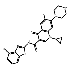 O=C(Nc1nc2c(Cl)cccc2s1)c1cn(C2CC2)c2cc(N3CCNCC3)c(F)cc2c1=O